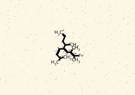 C=CCC(C)C(/C=C\C(C)C)=C\C(C)=C(/C)F